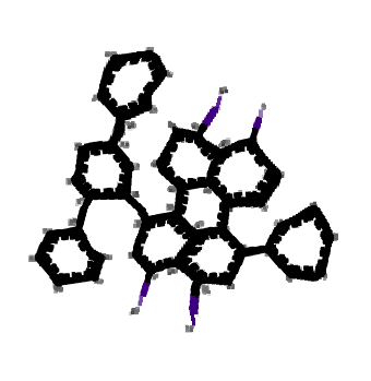 Ic1ccc2c3c(-c4ccccc4)cc(I)c4c(I)cc(-c5cc(-c6ccccc6)ccc5-c5ccccc5)c(c5ccc(I)c1c25)c43